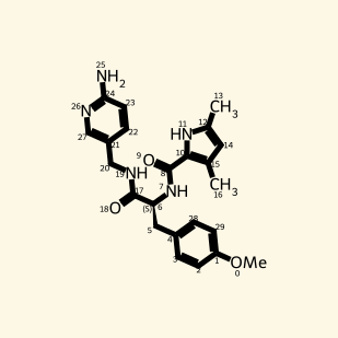 COc1ccc(C[C@H](NC(=O)c2[nH]c(C)cc2C)C(=O)NCc2ccc(N)nc2)cc1